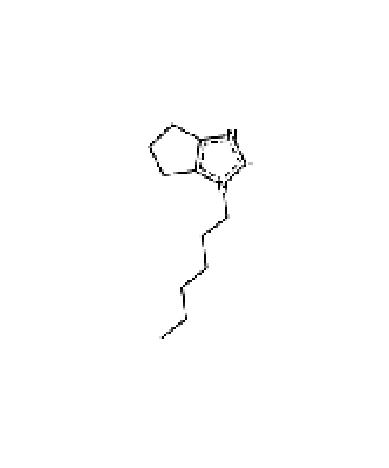 CCCCCCn1[c]nc2c1CCC2